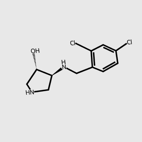 O[C@H]1CNC[C@@H]1NCc1ccc(Cl)cc1Cl